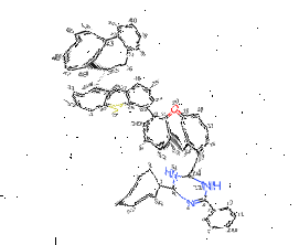 C1=CCC(C2N=C(c3ccccc3)NC(c3cccc4oc5c(-c6cccc7c6sc6cccc([C@H]8Cc9ccccc9-c9ccccc98)c67)cccc5c34)N2)C=C1